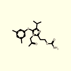 CC(=O)Cn1c(CCOC(N)=O)nc(C(C)C)c1Sc1cc(C)cc(C)c1